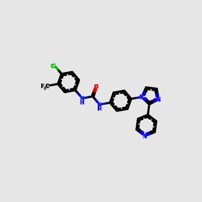 O=C(Nc1ccc(-n2ccnc2-c2ccncc2)cc1)Nc1ccc(Cl)c(C(F)(F)F)c1